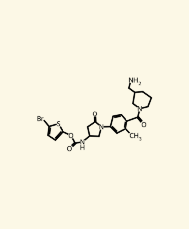 Cc1cc(N2CC(NC(=O)Oc3ccc(Br)s3)CC2=O)ccc1C(=O)N1CCCC(CN)C1